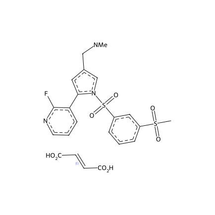 CNCc1cc(-c2cccnc2F)n(S(=O)(=O)c2cccc(S(C)(=O)=O)c2)c1.O=C(O)/C=C/C(=O)O